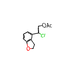 CC(=O)OCC(Cl)c1cccc2c1CCO2